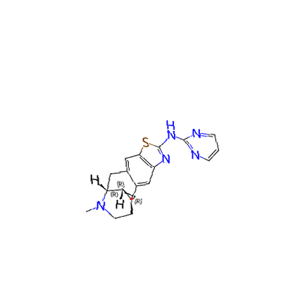 CN1CC[C@]23CCCC[C@H]2[C@H]1Cc1cc2sc(Nc4ncccn4)nc2cc13